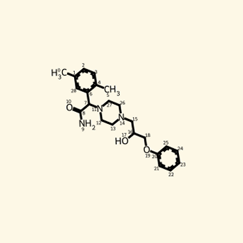 Cc1ccc(C)c(C(C(N)=O)N2CCN(CC(O)COc3ccccc3)CC2)c1